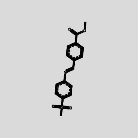 COC(=O)c1ccc(C=Nc2ccc(S(C)(=O)=O)cc2)cc1